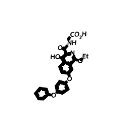 CCOc1nc(C(=O)NCC(=O)O)c(O)c2ccc(Oc3ccc(Oc4ccccc4)cc3)cc12